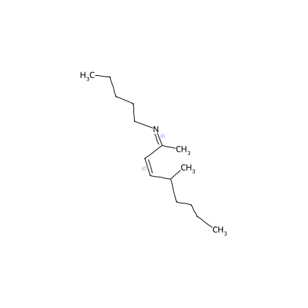 CCCCC/N=C(C)\C=C/C(C)CCCC